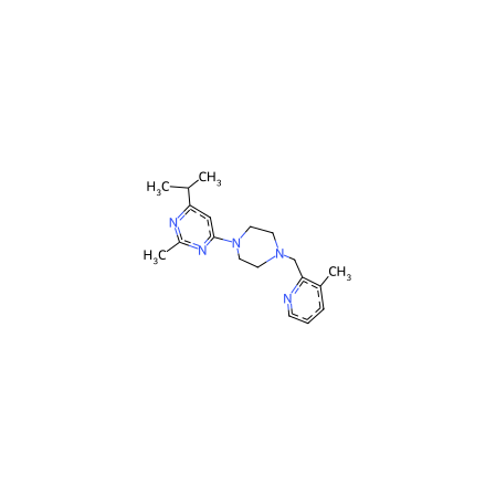 Cc1nc(C(C)C)cc(N2CCN(Cc3ncccc3C)CC2)n1